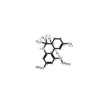 CCCCCOc1cc(CCCCC)cc2c1[C@@H]1C=C(C)CC[C@H]1C(C)(C)O2